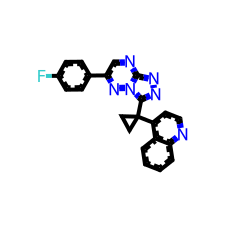 Fc1ccc(-c2cnc3nnc(C4(c5ccnc6ccccc56)CC4)n3n2)cc1